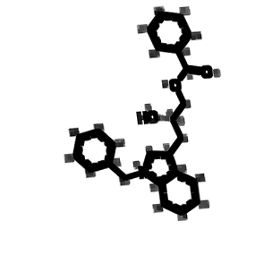 O=C(OC[C@@H](O)Cc1cn(Cc2ccccc2)c2ccccc12)c1ccccc1